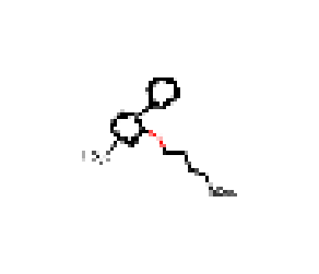 CCCCCCCCCCCCCCOc1cc(C(=O)O)ccc1-c1ccccc1